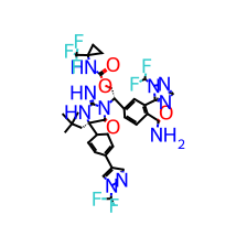 CC(C)(C)C[C@]1(C2C=CC(c3cnn(C(F)F)c3)=CC2)NC(=N)N([C@H](COC(=O)NC2(C(F)(F)F)CC2)c2ccc(C(N)=O)c(-c3ncnn3C(F)F)c2)C1=O